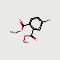 CCCCCCCCCCOC(=O)c1ccc(Br)cc1C(=O)OCCCCCCCCCC